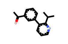 CC(=O)c1cccc(-c2cccnc2C(C)C)c1